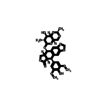 COc1cc([C@@H]2c3cc4c(cc3[C@@H](OC3O[C@@H]5CO[C@@H](C)O[C@H]5[C@H](O)[C@H]3C)[C@H]3COC(=O)[C@H]23)OCO4)cc(OC)c1O